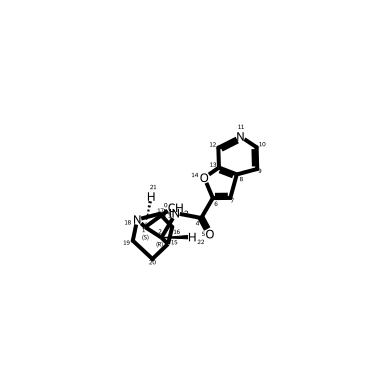 C[C@H]1[C@H](NC(=O)c2cc3ccncc3o2)C2CCN1CC2